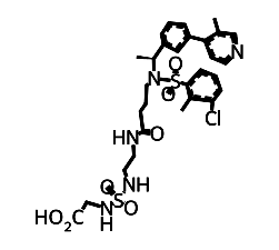 Cc1cnccc1-c1cccc([C@H](C)N(CCCC(=O)NCCNS(=O)(=O)NCC(=O)O)S(=O)(=O)c2cccc(Cl)c2C)c1